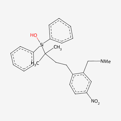 CNCc1cc([N+](=O)[O-])ccc1CCC(C)(C)[Si](O)(c1ccccc1)c1ccccc1